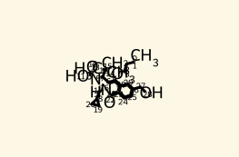 CCCCOc1c(C(NC(=O)O)C(C)(C)C)n(CC2CC2)c(=O)c2ccc(CO)cc12